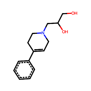 OCC(O)CN1CC=C(c2ccccc2)CC1